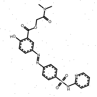 CN(C)C(=O)COC(=O)c1cc(N=Nc2ccc(S(=O)(=O)Nc3ccccn3)cc2)ccc1O